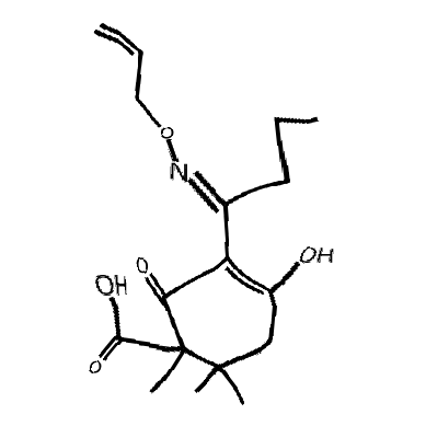 C=CCON=C(CCC)C1=C(O)CC(C)(C)C(C)(C(=O)O)C1=O